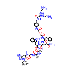 CC(C)CC(CC(C)C)NC(=O)C(Cc1cnc[nH]1)NC(=O)CNC(=O)[C@@H](NC(=O)[C@H](C)NC(=O)[C@H](Cc1c[nH]c2ccccc12)NC(=O)[C@H](CCC(N)=O)NC(=O)[C@@H](Cc1ccccc1)NC(=O)COCC(=O)Nc1ccc(CNC(=O)C(CNCCN)CNCCN)cc1)C(C)C